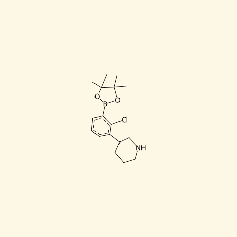 CC1(C)OB(c2cccc(C3CCCNC3)c2Cl)OC1(C)C